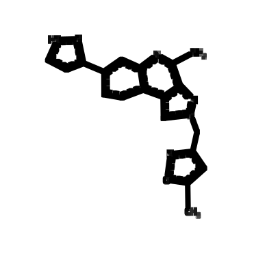 Cc1cc(Cn2cc3c(n2)c(N)nc2cc(-c4cc[nH]n4)ccc23)no1